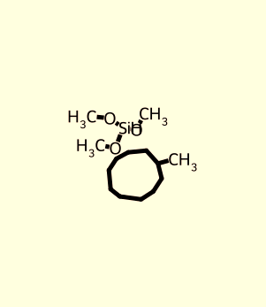 CC1CCCCCCCCC1.CO[SiH](OC)OC